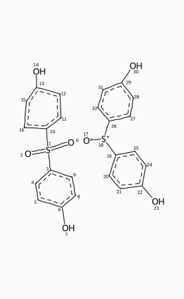 O=S(=O)(c1ccc(O)cc1)c1ccc(O)cc1.[O-][S+](c1ccc(O)cc1)c1ccc(O)cc1